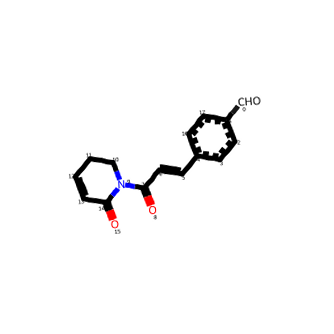 O=Cc1ccc(C=CC(=O)N2CCC=CC2=O)cc1